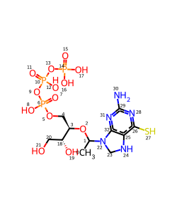 CC(O[C@H](COP(=O)(O)OP(=O)(O)OP(=O)(O)O)[C@H](O)CO)N1CNc2c(S)nc(N)nc21